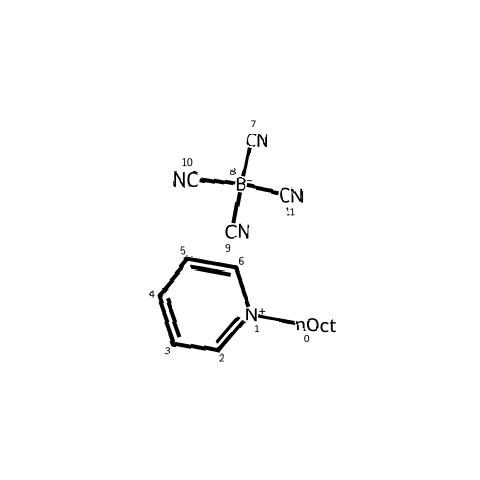 CCCCCCCC[n+]1ccccc1.N#C[B-](C#N)(C#N)C#N